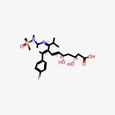 C=S(C)(=O)N(C)C(C)\N=C(C(/C=C/[C@@H](O)C[C@@H](O)CC(=O)O)=C(\C)c1ccc(F)cc1)\C(C)C